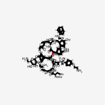 CN[C@H](CC(C)C)C(=O)N[C@H]1C(=O)N[C@@H](CC(=O)NS(=O)(=O)c2ccc(OCCN)cc2)C(=O)N[C@H]2C(=O)N[C@H]3C(=O)N[C@H](C(=O)N[C@H](C(=O)NC4C5CC6CC(C5)CC4C6)c4cc(O)cc(O)c4-c4cc3ccc4O)[C@H](O)c3ccc(c(Cl)c3)Oc3cc2cc(c3O[C@@H]2O[C@H](CN)[C@@H](O)[C@H](O)[C@H]2O)Oc2ccc(cc2C)[C@H]1O